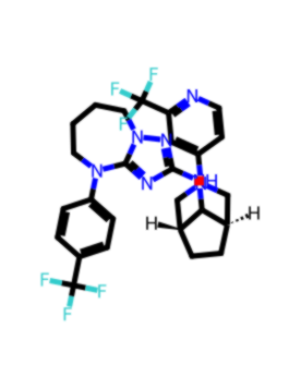 FC(F)(F)c1ccc(N2CCCCn3nc(NC4[C@@H]5CC[C@@H]4CN(c4ccnc(C(F)(F)F)c4)C5)nc32)cc1